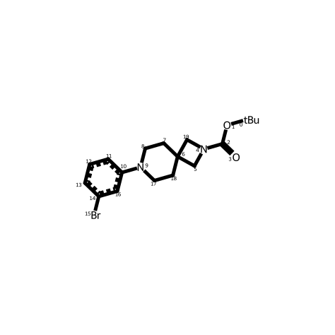 CC(C)(C)OC(=O)N1CC2(CCN(c3cccc(Br)c3)CC2)C1